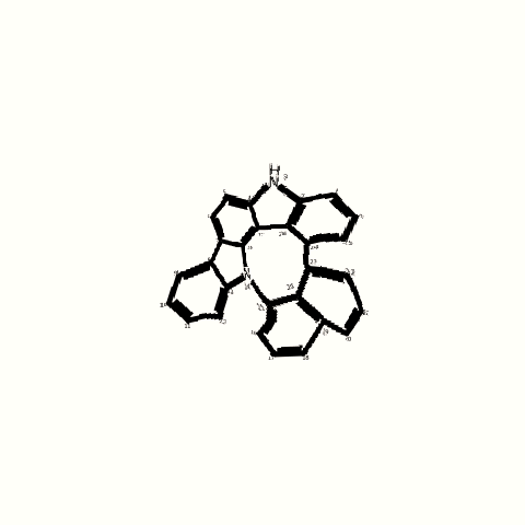 c1cc2[nH]c3ccc4c5ccccc5n5c6cccc7cccc(c(c1)c2c3c45)c76